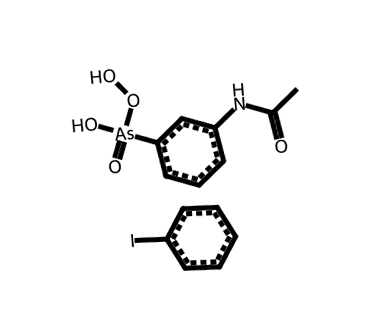 CC(=O)Nc1cccc([As](=O)(O)OO)c1.Ic1ccccc1